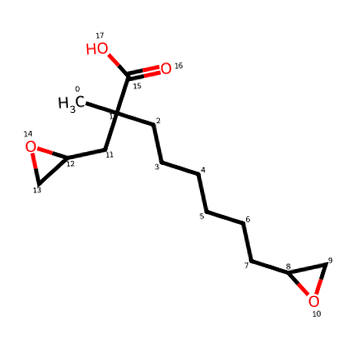 CC(CCCCCCC1CO1)(CC1CO1)C(=O)O